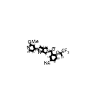 COc1cc(-n2cc3c(n2)CN(C(=O)c2cc(C#N)ccc2O[C@@H](C)C(F)(F)F)C3)ccn1